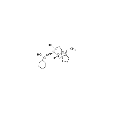 CCO[C@]12CC[C@@H](O)[C@H](C#C[C@@H](O)C3CCCCC3)[C@H]1CC21OCCO1